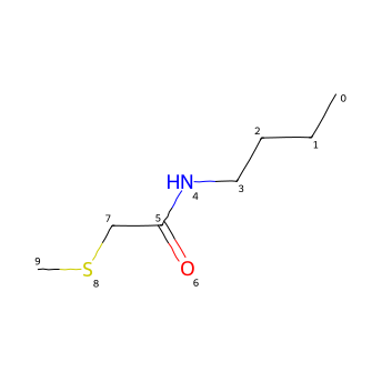 CCCCNC(=O)CSC